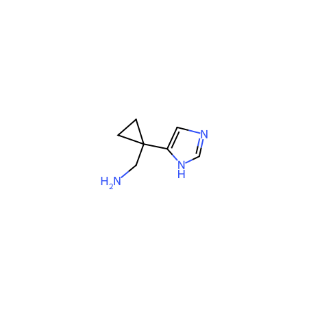 NCC1(c2cnc[nH]2)CC1